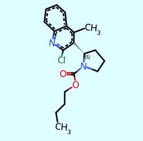 CCCCOC(=O)N1CCC[C@H]1c1c(Cl)nc2ccccc2c1C